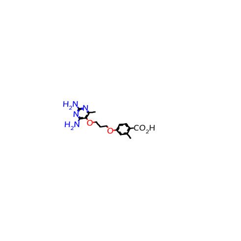 Cc1cc(OCCCOc2c(C)nc(N)nc2N)ccc1C(=O)O